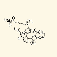 CCNC(=O)c1noc(-c2cc(C(C)C)c(O)cc2O)c1-c1ccc(CN(C)CCCCCC(=O)NO)cc1